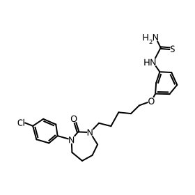 NC(=S)Nc1cccc(OCCCCCN2CCCCN(c3ccc(Cl)cc3)C2=O)c1